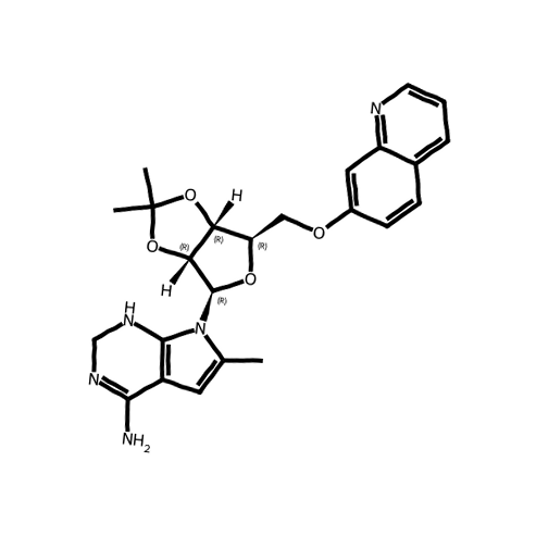 Cc1cc2c(n1[C@@H]1O[C@H](COc3ccc4cccnc4c3)[C@H]3OC(C)(C)O[C@H]31)NCN=C2N